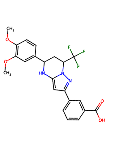 COc1ccc(C2CC(C(F)(F)F)n3nc(-c4cccc(C(=O)O)c4)cc3N2)cc1OC